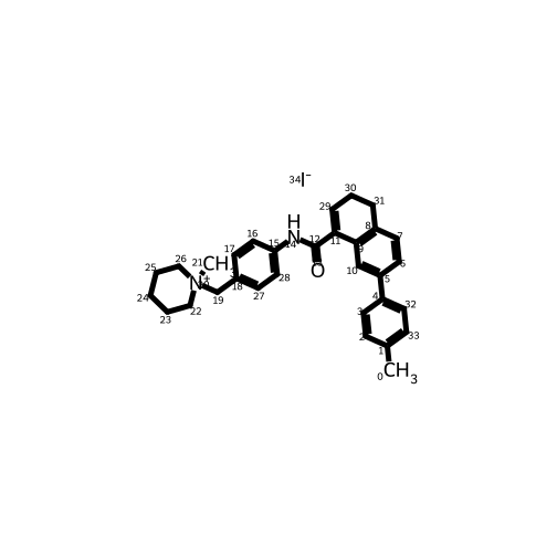 Cc1ccc(-c2ccc3c(c2)C(C(=O)Nc2ccc(C[N+]4(C)CCCCC4)cc2)=CCC3)cc1.[I-]